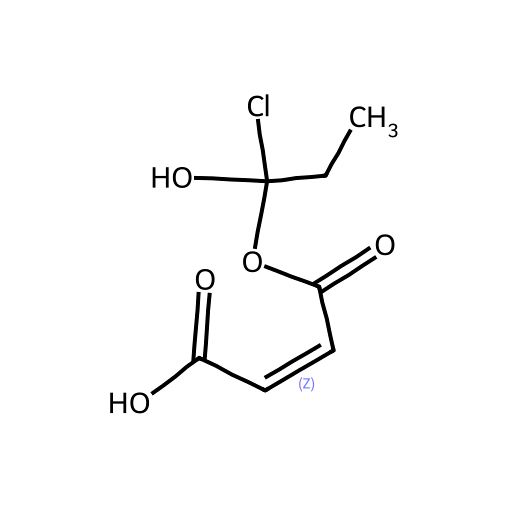 CCC(O)(Cl)OC(=O)/C=C\C(=O)O